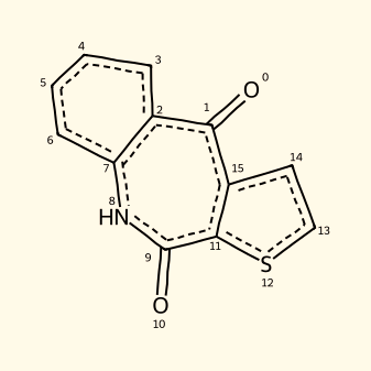 O=c1c2ccccc2[nH]c(=O)c2sccc12